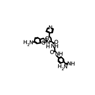 N=C(N)c1ccc(CNC(=O)CNC(=O)C(CCc2ccncc2)NS(=O)(=O)Cc2ccc(N)cc2)cc1